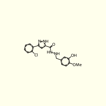 COc1ccc(CNNC(=O)c2cc(-c3ccccc3Cl)n[nH]2)cc1O